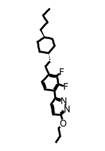 CCCC[C@H]1CC[C@H](CCc2ccc(-c3ccc(OCCC)nn3)c(F)c2F)CC1